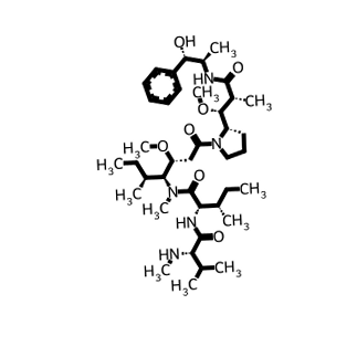 CC[C@H](C)[C@@H]([C@@H](CC(=O)N1CCC[C@H]1[C@H](OC)[C@@H](C)C(=O)N[C@H](C)[C@@H](O)c1ccccc1)OC)N(C)C(=O)[C@@H](NC(=O)[C@@H](NC)C(C)C)[C@@H](C)CC